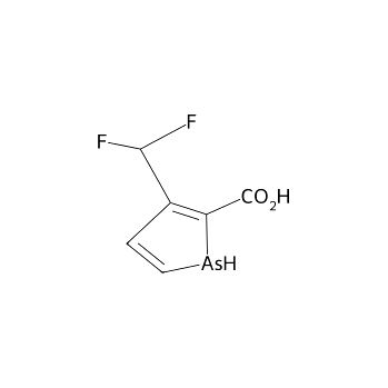 O=C(O)C1=C(C(F)F)C=C[AsH]1